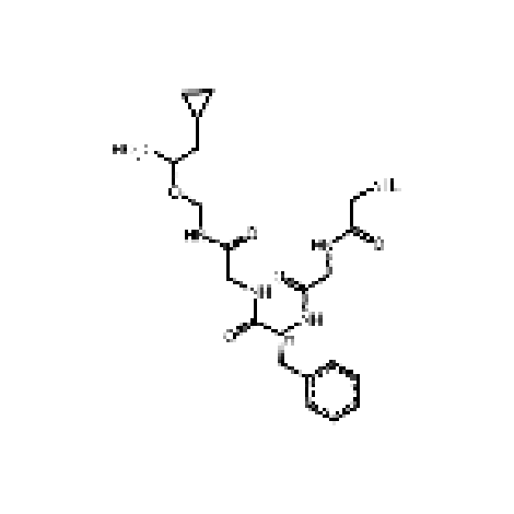 NCC(=O)NCC(=O)N[C@@H](Cc1ccccc1)C(=O)NCC(=O)NCOC(CC1CC1)C(=O)O